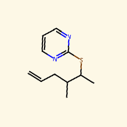 C=CCC(C)C(C)Sc1ncccn1